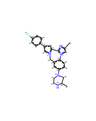 Cc1cn2c(n1)-c1cc(-c3ccc(F)cc3)cn1Cc1cc(N3CCNC(C)C3)ccc1-2